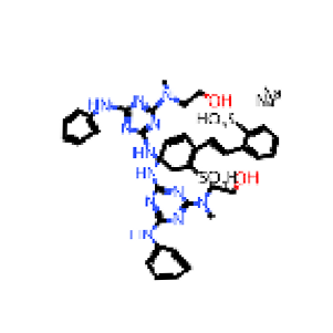 CN(CCO)c1nc(Nc2ccccc2)nc(NC2(Nc3nc(Nc4ccccc4)nc(N(C)CCO)n3)C=CC(C=Cc3ccccc3S(=O)(=O)O)=C(S(=O)(=O)O)C2)n1.[Na].[Na]